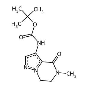 CN1CCn2ncc(NC(=O)OC(C)(C)C)c2C1=O